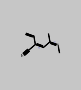 C=C/C(C#N)=C\C(C)=N/C